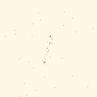 O=C(CCNCCCc1ccc(OCCCc2ccc(Br)cc2)cc1)OC(=O)C(F)(F)F